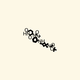 Cn1c(=O)n(C2CCC(=O)NC2=O)c2cccc(NCC3CC4(C3)CN(C(=O)OC(C)(C)C)C4)c21